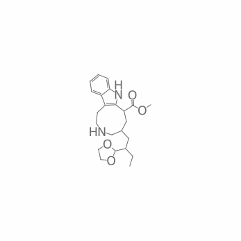 CCC(CC1CNCCc2c([nH]c3ccccc23)C(C(=O)OC)C1)C1OCCO1